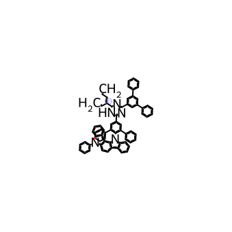 C=C/C=C(\C=C)C1N=C(c2cc(-c3ccccc3)cc(-c3ccccc3)c2)N=C(c2cc(C3=CCCC=C3)c(-n3c4ccccc4c4ccc5c(c6ccccc6n5-c5ccccc5)c43)c(-c3ccccc3)c2)N1